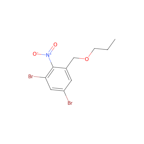 CCCOCc1cc(Br)cc(Br)c1[N+](=O)[O-]